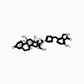 C[C@]12C=CC(=O)C=C1CC[C@@H]1[C@@H]2[C@@H](O)C[C@@]2(C)[C@H]1C[C@H]1O[C@@H](c3ccc(Cc4ccc(N)c5c4CNC5=O)cc3)O[C@]12C(=O)CO